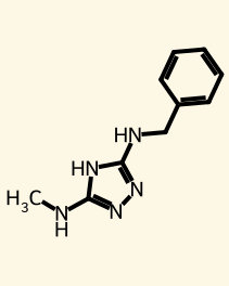 CNc1nnc(NCc2ccccc2)[nH]1